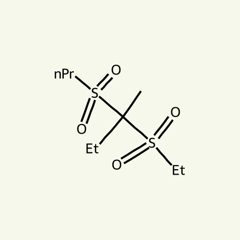 CCCS(=O)(=O)C(C)(CC)S(=O)(=O)CC